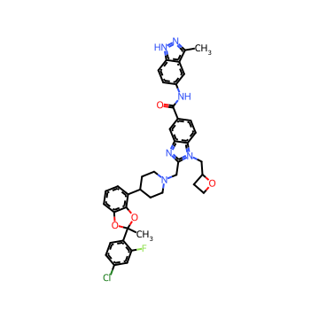 Cc1n[nH]c2ccc(NC(=O)c3ccc4c(c3)nc(CN3CCC(c5cccc6c5OC(C)(c5ccc(Cl)cc5F)O6)CC3)n4CC3CCO3)cc12